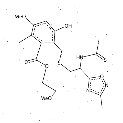 COCCOC(=O)c1c(C)c(OC)cc(O)c1CSCC(NC(C)=S)c1nc(C)no1